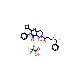 C[C@@H](NCCC(=O)N1CCc2nc(C3CCC3)n(-c3ccccc3)c(=O)c2C1S)c1ccccc1.O=C(O)C(F)(F)F